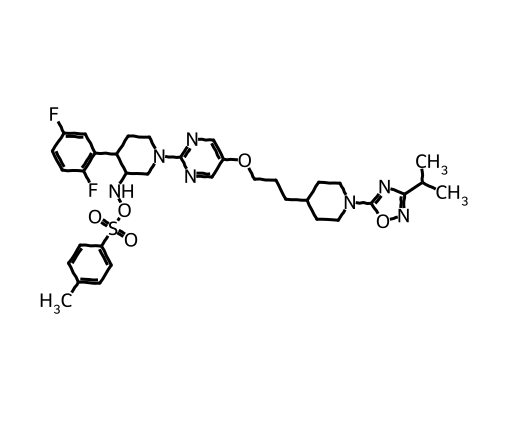 Cc1ccc(S(=O)(=O)ONC2CN(c3ncc(OCCCC4CCN(c5nc(C(C)C)no5)CC4)cn3)CCC2c2cc(F)ccc2F)cc1